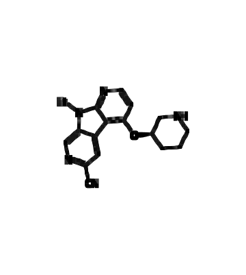 CCn1c2cnc(C#N)cc2c2c(O[C@@H]3CCCNC3)ccnc21